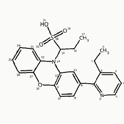 CCc1cccnc1-c1ccc2c(c1)N(C(CC)S(=O)(=O)O)c1ccccc1O2